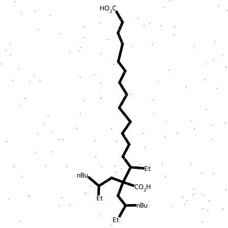 CCCCC(CC)CC(CC(CC)CCCC)(C(=O)O)C(CC)CCCCCCCCCCCCC(=O)O